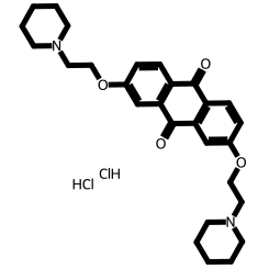 Cl.Cl.O=C1c2ccc(OCCN3CCCCC3)cc2C(=O)c2cc(OCCN3CCCCC3)ccc21